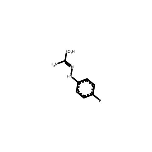 N/C(=N\Nc1ccc(F)cc1)S(=O)(=O)O